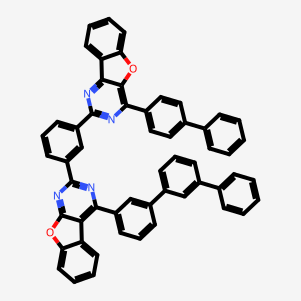 c1ccc(-c2ccc(-c3nc(-c4cccc(-c5nc(-c6cccc(-c7cccc(-c8ccccc8)c7)c6)c6c(n5)oc5ccccc56)c4)nc4c3oc3ccccc34)cc2)cc1